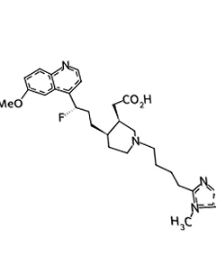 COc1ccc2nccc([C@@H](F)CC[C@@H]3CCN(CCCCc4nccn4C)C[C@@H]3CC(=O)O)c2c1